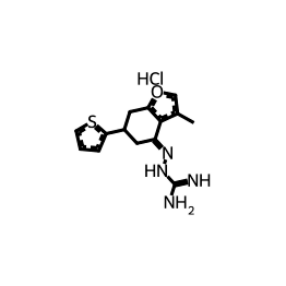 Cc1coc2c1C(=NNC(=N)N)CC(c1cccs1)C2.Cl